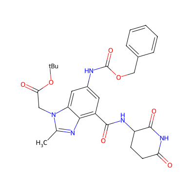 Cc1nc2c(C(=O)NC3CCC(=O)NC3=O)cc(NC(=O)OCc3ccccc3)cc2n1CC(=O)OC(C)(C)C